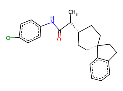 CC(C(=O)Nc1ccc(Cl)cc1)[C@H]1CC[C@@]2(CCc3ccccc32)CC1